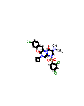 CN(C)C1CN(S(=O)(=O)c2ccc(Cl)cc2Cl)C2=CN(C3CCC3)C(=O)C(Cc3ccc(Cl)cc3)N2C1=O